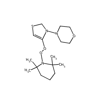 CC1(C)CCCC(C)(C)N1OOC1=CSCN1N1CCOCC1